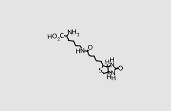 NC(CCCCNC(=O)CCCCC1SC[C@@H]2NC(=O)N[C@H]12)C(=O)O